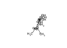 CCCCCCC(=O)OC[C@H](CSC[C@@H](N)C(=O)Nc1cn([C@H]2OC(CO)[C@@H](O)[C@H]2O)nn1)OC(=O)CCCCCC